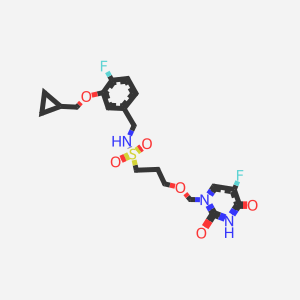 O=c1[nH]c(=O)n(COCCCS(=O)(=O)NCc2ccc(F)c(OCC3CC3)c2)cc1F